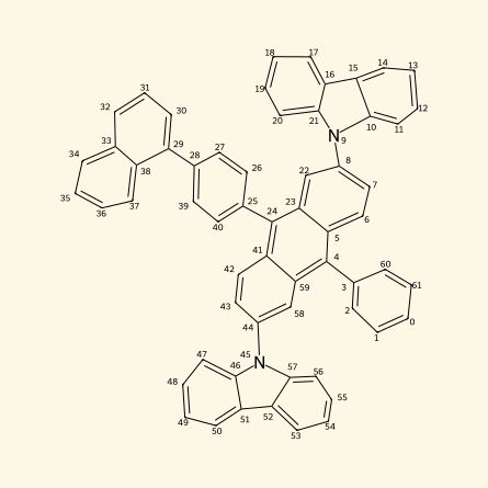 c1ccc(-c2c3ccc(-n4c5ccccc5c5ccccc54)cc3c(-c3ccc(-c4cccc5ccccc45)cc3)c3ccc(-n4c5ccccc5c5ccccc54)cc23)cc1